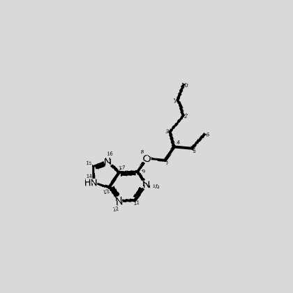 CCCCC(CC)COc1ncnc2[nH]cnc12